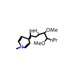 CCCC(OC)C(CC[C]([InH2])=C1C=CN(C)C=C1)OC